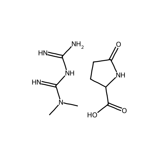 CN(C)C(=N)NC(=N)N.O=C1CCC(C(=O)O)N1